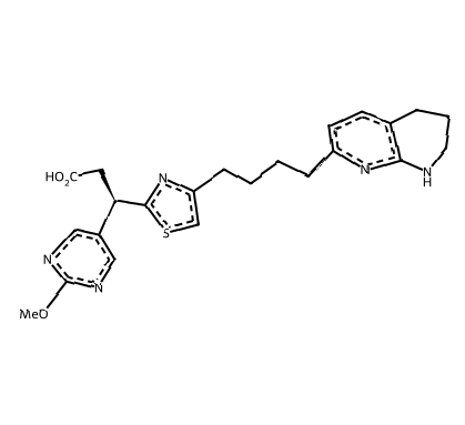 COc1ncc([C@@H](CC(=O)O)c2nc(CCCCc3ccc4c(n3)NCCC4)cs2)cn1